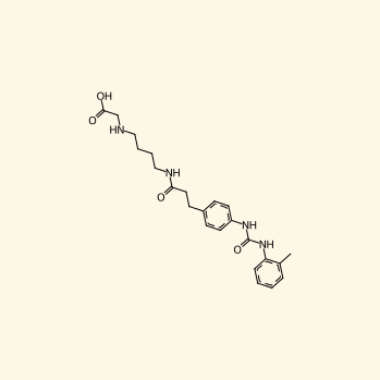 Cc1ccccc1NC(=O)Nc1ccc(CCC(=O)NCCCCNCC(=O)O)cc1